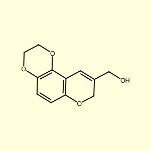 OCC1=Cc2c(ccc3c2OCCO3)OC1